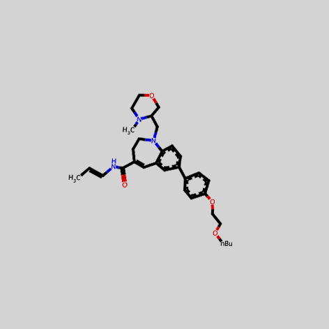 C/C=C/NC(=O)C1=Cc2cc(-c3ccc(OCCOCCCC)cc3)ccc2N(CC2COCCN2C)CC1